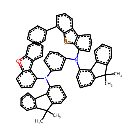 CC1(C)c2ccccc2-c2c(N(c3cccc(N(c4cccc5c4-c4ccccc4C5(C)C)c4cccc5oc6ccccc6c45)c3)c3cccc4c3sc3c(-c5ccccc5)cccc34)cccc21